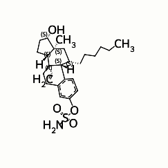 C=C[C@@]12CCc3cc(OS(N)(=O)=O)ccc3[C@H]1[C@@H](CCCCCC)C[C@@]1(C)[C@H]2CC[C@@H]1O